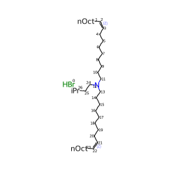 Br.CCCCCCCC/C=C\CCCCCCCCN(CCCCCCCC/C=C\CCCCCCCC)CCC(C)C